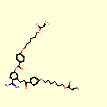 C=CC(=O)OCCCCCCOc1ccc(C(=O)CCc2cc(OC(=O)c3ccc(OCCCCCCOC(=O)C=C)cc3)ccc2C(=N)N)cc1